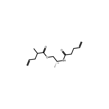 C=CCCC(=O)N[C@H](C)COC(=O)C(C)CC=C